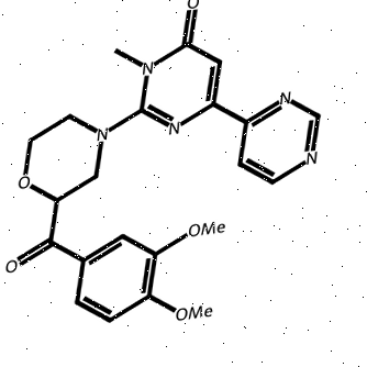 COc1ccc(C(=O)C2CN(c3nc(-c4ccncn4)cc(=O)n3C)CCO2)cc1OC